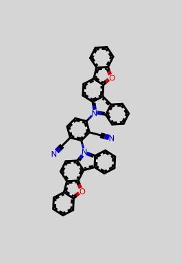 N#Cc1ccc(-n2c3ccccc3c3c4oc5ccccc5c4ccc32)c(C#N)c1-n1c2ccccc2c2c3oc4ccccc4c3ccc21